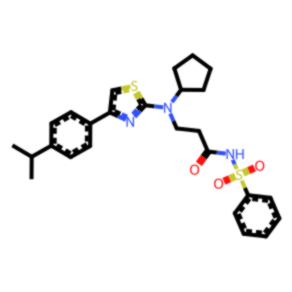 CC(C)c1ccc(-c2csc(N(CCC(=O)NS(=O)(=O)c3ccccc3)C3CCCC3)n2)cc1